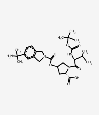 CC(C)[C@H](NC(=O)OC(C)(C)C)C(=O)N1C[C@H](OC(=O)N2Cc3ccc(C(C)(C)N)cc3C2)C[C@H]1C(=O)O